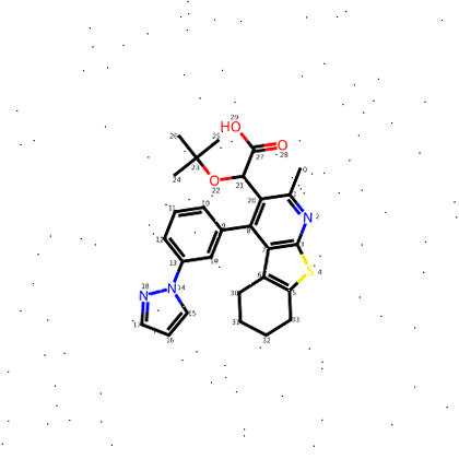 Cc1nc2sc3c(c2c(-c2cccc(-n4cccn4)c2)c1C(OC(C)(C)C)C(=O)O)CCCC3